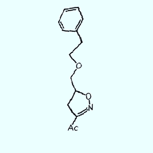 CC(=O)C1=NOC(COCCc2ccccc2)C1